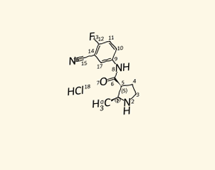 C[C@@H]1NCC[C@@H]1C(=O)Nc1ccc(F)c(C#N)c1.Cl